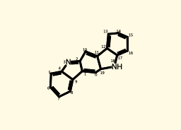 C1=C2C(=Nc3ccccc32)C=C2c3ccccc3NC12